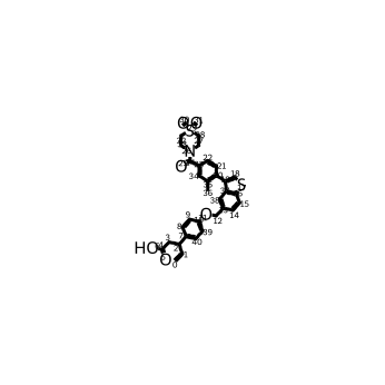 C=CC(CC(=O)O)c1ccc(OCc2ccc3scc(-c4ccc(C(=O)N5CCS(=O)(=O)CC5)cc4C)c3c2)cc1